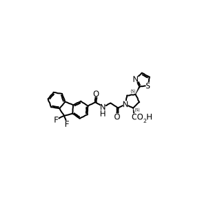 O=C(NCC(=O)N1C[C@@H](c2nccs2)C[C@H]1C(=O)O)c1ccc2c(c1)-c1ccccc1C2(F)F